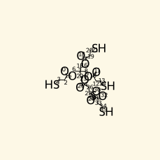 O=C(CCS)OCC(COC(=O)CCS)(COC(=O)CCS)COC(=O)CCS(=O)(=O)C(=O)CCS